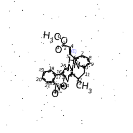 COC(=O)/C=C/c1cccc(CC(C)c2nc(-c3ccccc3[N+](=O)[O-])c[nH]2)n1